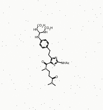 CC(=O)Nc1nc(CCc2ccc(NC(NC(=O)O)NC(=O)O)cc2)c(C(=O)N(C)CCC(=O)N(C)C)s1